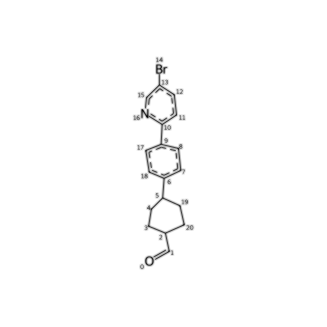 O=CC1CCC(c2ccc(-c3ccc(Br)cn3)cc2)CC1